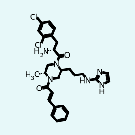 C[C@@H]1CN(C(=O)[C@H](N)Cc2ccc(Cl)cc2Cl)C(CCCNc2ncc[nH]2)CN1C(=O)/C=C/c1ccccc1